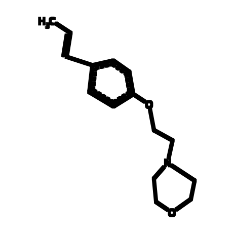 CC=Cc1ccc(OCCN2CCOCC2)cc1